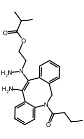 CCCC(=O)N1Cc2ccccc2/C(N(N)CCOC(=O)C(C)C)=C(/N)c2ccccc21